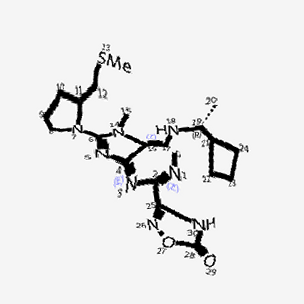 C\N=C(/N=C1/N=C(N2CCCC2CSC)N(C)/C1=C\N[C@H](C)C1CCC1)c1noc(=O)[nH]1